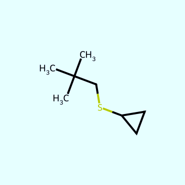 CC(C)(C)CSC1CC1